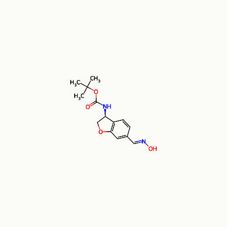 CC(C)(C)OC(=O)N[C@@H]1COc2cc(/C=N/O)ccc21